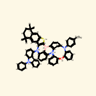 CC(C)(C)c1ccc(N2c3ccc4c(c3)N(c3ccccc3Oc3ccccc32)c2cccc3c2B4c2sc4cc5c(cc4c2N3c2cccc3c2c2ccccc2n3-c2ccccc2)C(C)(C)CCC5(C)C)cc1